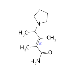 C/C(C(N)=O)=C(/C)C(C)N1CCCC1